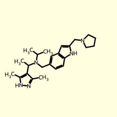 Cc1n[nH]c(C)c1C(C)N(Cc1ccc2[nH]c(CN3CCCC3)cc2c1)C(C)C